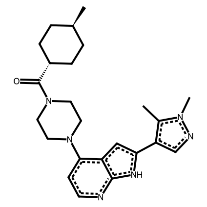 Cc1c(-c2cc3c(N4CCN(C(=O)[C@H]5CC[C@H](C)CC5)CC4)ccnc3[nH]2)cnn1C